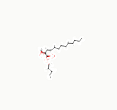 CCCCCCCCCCCC1(C(=O)OCCCC)CO1